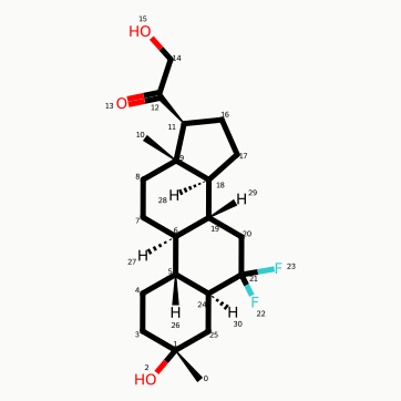 C[C@@]1(O)CC[C@@H]2[C@H]3CC[C@]4(C)[C@@H](C(=O)CO)CC[C@H]4[C@@H]3CC(F)(F)[C@H]2C1